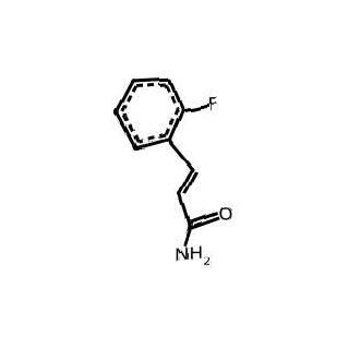 NC(=O)C=Cc1ccccc1F